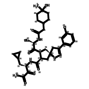 CC1(O)CCC(CC(=O)N[C@H](C(=O)N2C[C@@]3(CC(c4cccc(Cl)c4)=NO3)C[C@H]2C(=O)N[C@@H](CC2CC2)C(=O)C(N)=O)C(C)(C)C)CC1